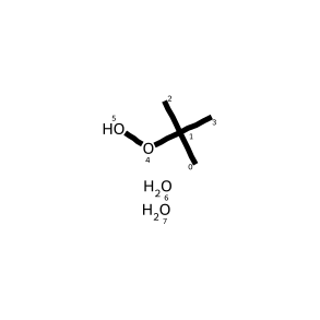 CC(C)(C)OO.O.O